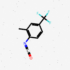 Cc1cc(C(F)(F)F)ccc1N=C=O